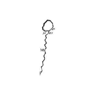 FCCCCCCCNCCCCCCNC1NCCCCCCCN1